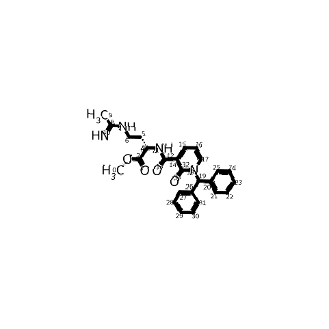 COC(=O)[C@H](CCNC(C)=N)NC(=O)c1cccn(C(c2ccccc2)c2ccccc2)c1=O